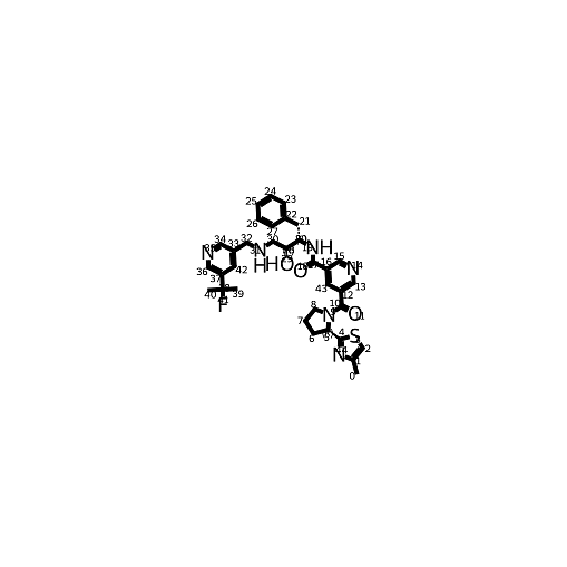 Cc1csc([C@H]2CCCN2C(=O)c2cncc(C(=O)N[C@@H](Cc3ccccc3)[C@H](O)CNCc3cncc(C(C)(C)F)c3)c2)n1